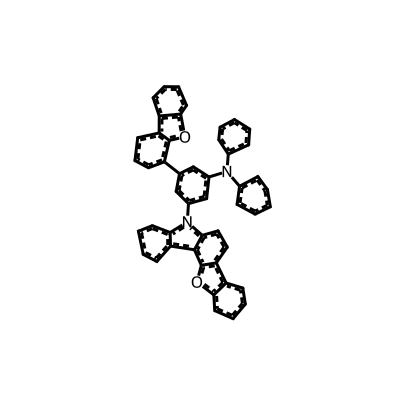 c1ccc(N(c2ccccc2)c2cc(-c3cccc4c3oc3ccccc34)cc(-n3c4ccccc4c4c5oc6ccccc6c5ccc43)c2)cc1